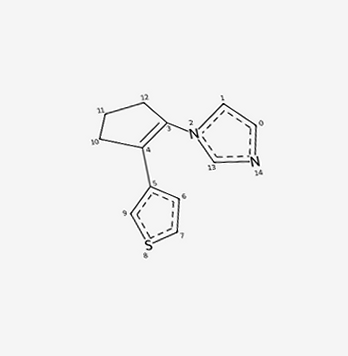 c1cn(C2=C(c3ccsc3)CCC2)cn1